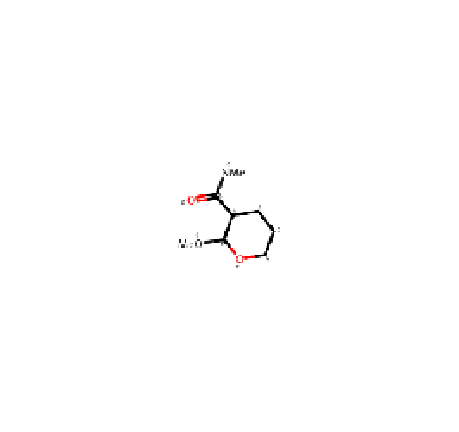 CNC(=O)C1CCCOC1OC